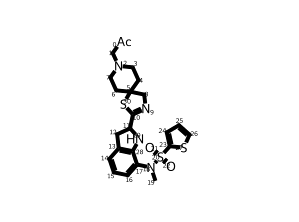 CC(=O)CN1CCC2(CC1)CN=C(C1Cc3cccc(N(C)S(=O)(=O)c4cccs4)c3N1)S2